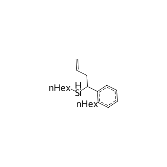 C=CCC(c1ccccc1)[SiH](CCCCCC)CCCCCC